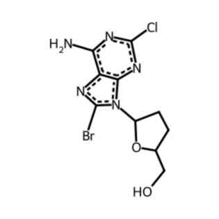 Nc1nc(Cl)nc2c1nc(Br)n2C1CCC(CO)O1